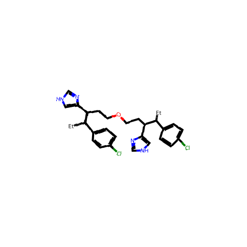 CCC(c1ccc(Cl)cc1)C(CCOCCC(c1c[nH]cn1)C(CC)c1ccc(Cl)cc1)c1c[nH]cn1